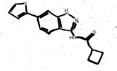 O=C(Nc1n[nH]c2cc(-c3cccs3)ccc12)C1CCC1